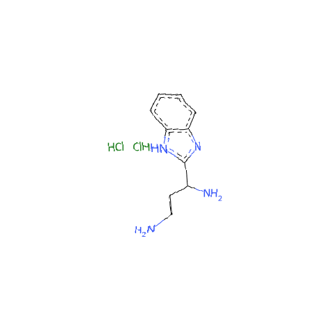 Cl.Cl.NCCC(N)c1nc2ccccc2[nH]1